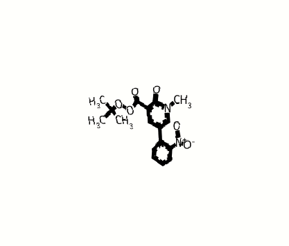 Cn1cc(-c2ccccc2[N+](=O)[O-])cc(C(=O)OOC(C)(C)C)c1=O